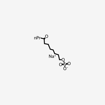 CCCC(=O)CCCCCCCOS(=O)(=O)[O-].[Na+]